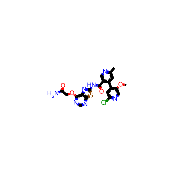 COc1cnc(Cl)cc1-c1cc(C)ncc1C(=O)Nc1nc2c(OCC(N)=O)ncnc2s1